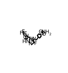 Cc1nn(CC(F)(F)F)cc1Nc1ncc(F)c(NCc2ccc(S(N)(=O)=O)cc2)n1